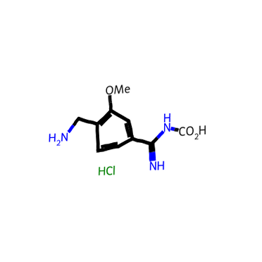 COc1cc(C(=N)NC(=O)O)ccc1CN.Cl